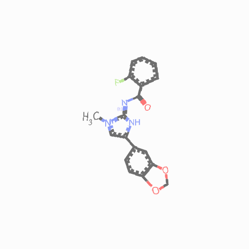 Cn1cc(-c2ccc3c(c2)OCO3)[nH]/c1=N\C(=O)c1ccccc1F